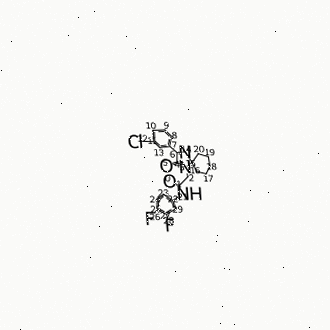 O=C(CN1C(=O)C(c2cccc(Cl)c2)=NC12CCCCC2)Nc1ccc(F)c(F)c1